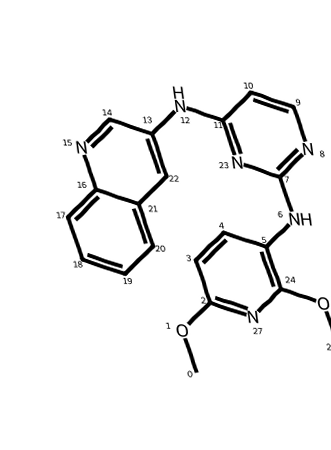 COc1ccc(Nc2nccc(Nc3cnc4ccccc4c3)n2)c(OC)n1